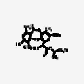 CCOC(=O)C(C)OC(=O)C(C(=O)O)c1cc(OC)c(C)c2c1Oc1c(C=O)c(O)cc(C)c1C(=O)O2